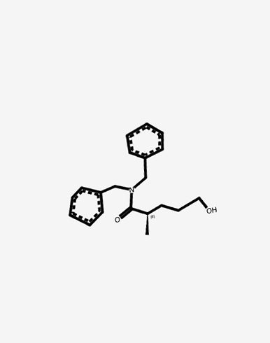 C[C@H](CCCO)C(=O)N(Cc1ccccc1)Cc1ccccc1